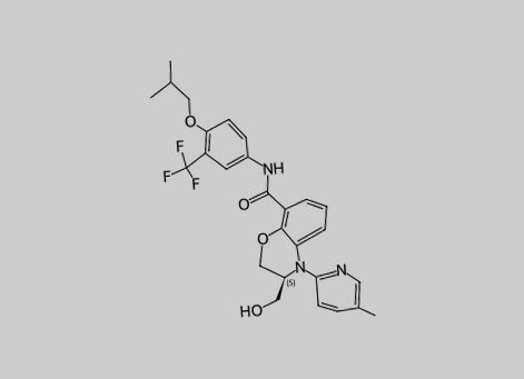 Cc1ccc(N2c3cccc(C(=O)Nc4ccc(OCC(C)C)c(C(F)(F)F)c4)c3OC[C@@H]2CO)nc1